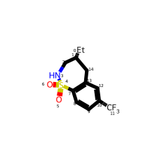 CCC1CNS(=O)(=O)c2ccc(C(F)(F)F)cc2C1